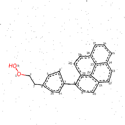 OOCCc1ccc(-c2ccc3ccc4cccc5ccc2c3c45)cc1